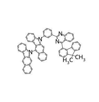 CC1(C)c2ccccc2-c2c(-c3nc(-c4cccc(-n5c6ccccc6c6c(-n7c8ccccc8c8cc9ccccc9cc87)c7ccccc7cc65)c4)nc4ccccc34)cccc21